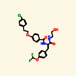 O=C(NCCO)/C(=C/c1ccc(OC(F)F)cc1)NC(=O)c1ccc(OCCc2ccc(Cl)cc2)cc1